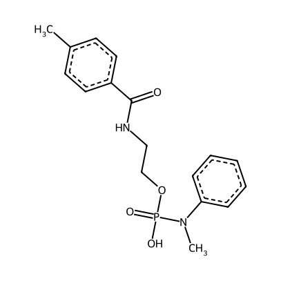 Cc1ccc(C(=O)NCCOP(=O)(O)N(C)c2ccccc2)cc1